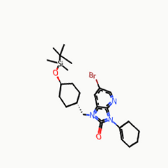 CC(C)(C)[Si](C)(C)O[C@H]1CC[C@H](Cn2c(=O)n(C3=CCCCC3)c3ncc(Br)cc32)CC1